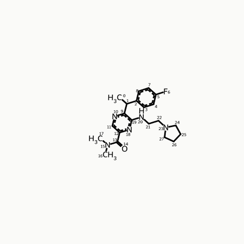 CC(c1ccc(F)cc1)c1ncc(C(=O)N(C)C)nc1NCCN1CCCC1